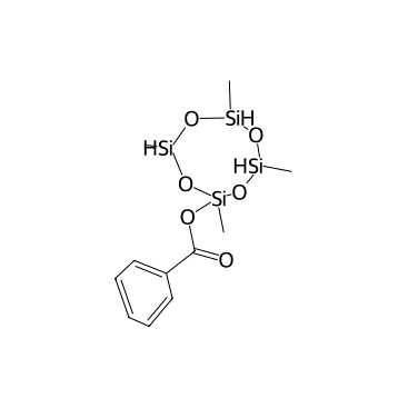 C[SiH]1O[SiH](C)O[Si](C)(OC(=O)c2ccccc2)O[SiH](C)O1